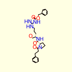 N=C(NCCC[C@@H](C=O)NC(=O)[C@@H]1CCCN1C(=O)CCc1ccccc1)NC(=O)OCc1ccccc1